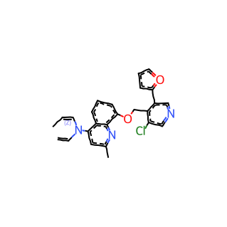 C=CN(/C=C\C)c1cc(C)nc2c(OCc3c(Cl)cncc3-c3ccco3)cccc12